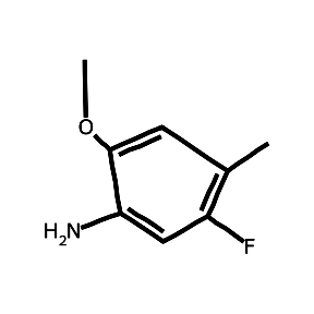 COc1cc(C)c(F)cc1N